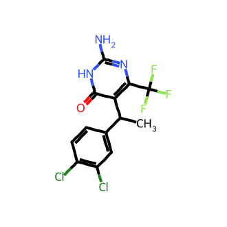 CC(c1ccc(Cl)c(Cl)c1)c1c(C(F)(F)F)nc(N)[nH]c1=O